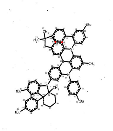 Cc1cc2c3c(c1)N(c1ccc(C(C)(C)C)cc1-c1ccccc1)c1cc4c(cc1B3c1ccc(N3c5ccc(C(C)(C)C)cc5C5(c6ccc(C(C)(C)C)cc6)CCCCC35C)cc1N2c1ccc(C(C)(C)C)cc1)CC(C)(C)C4